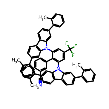 Cc1ccccc1-c1ccc2c3ccc(-c4ccccc4C)cc3n(-c3cc(C(F)(F)F)cc(-n4c5cc(-c6ccccc6C)ccc5c5ccc(-c6ccccc6C)cc54)c3-c3cccc(C#N)c3)c2c1